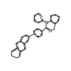 C1=c2cc3ccc(-c4ccc(C5=NCc6ccccc6N5c5ccccc5)cc4)cc3cc2=CCC1